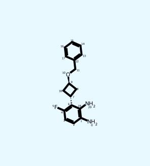 Nc1ccc(F)c([C@H]2C[C@H](OCc3ccccc3)C2)c1N